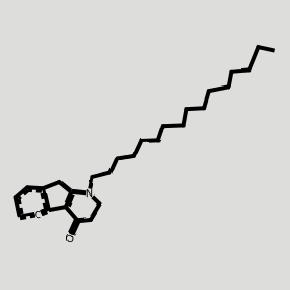 CCCCCCCCCCCCCCCCN1CCC(=O)C2=C1Cc1ccccc12